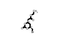 CCOC(=O)C[C@H]1C[C@@H](CBr)OC(=O)O1